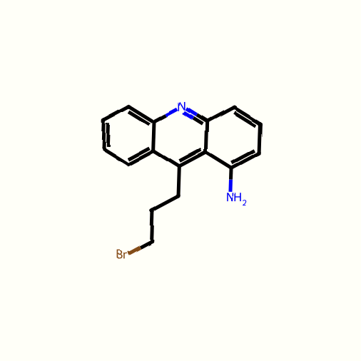 Nc1cccc2nc3ccccc3c(CCCBr)c12